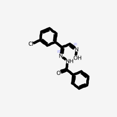 O=C(N/N=C(\C=N/O)c1cccc(Cl)c1)c1ccccc1